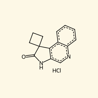 Cl.O=C1Nc2cnc3ccccc3c2C12CCC2